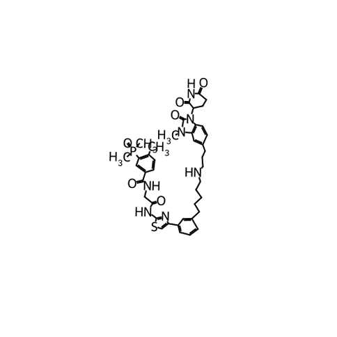 Cc1ccc(C(=O)NCC(=O)Nc2nc(-c3cccc(CCCCCNCCCc4ccc5c(c4)n(C)c(=O)n5C4CCC(=O)NC4=O)c3)cs2)cc1P(C)(C)=O